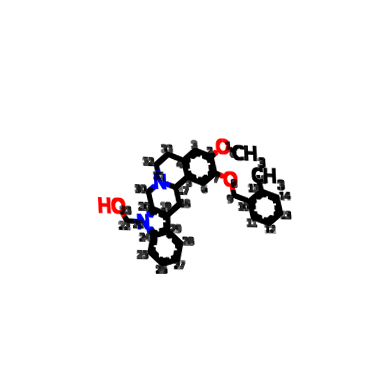 COc1cc2c(cc1OCc1ccccc1C)C1Cc3c(n(CO)c4ccccc34)CN1CC2